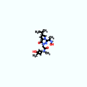 C/C(=N/O)c1nn(CC(=O)N(C)[C@H]2C[C@@](C)(O)C2)c(=O)c2cc(C(C)C)cn12